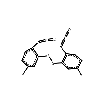 Cc1ccc(N=C=O)c(SSc2cc(C)ccc2N=C=O)c1